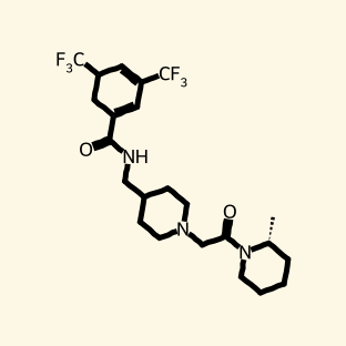 C[C@@H]1CCCCN1C(=O)CN1CCC(CNC(=O)C2=CC(C(F)(F)F)=CC(C(F)(F)F)C2)CC1